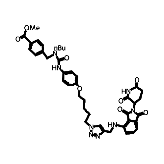 CCCCN(Cc1ccc(C(=O)OC)cc1)C(=O)Nc1ccc(OCCCCCn2cc(CNc3cccc4c3C(=O)N(C3CCC(=O)NC3=O)C4=O)nn2)cc1